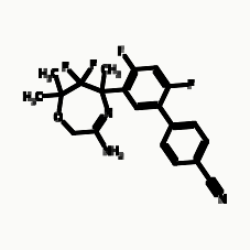 CC1(C)OCC(N)=NC(C)(c2cc(-c3ccc(C#N)cc3)c(F)cc2F)C1(F)F